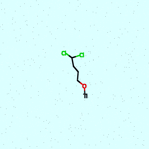 ClC(Cl)CCC[O][Ti]